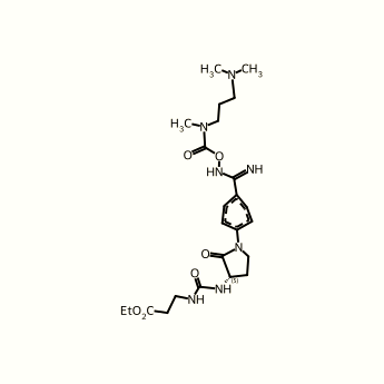 CCOC(=O)CCNC(=O)N[C@H]1CCN(c2ccc(C(=N)NOC(=O)N(C)CCCN(C)C)cc2)C1=O